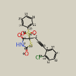 O=C1NC(=O)C(CC#Cc2ccccc2Cl)(S(=O)(=O)c2ccccc2)S1